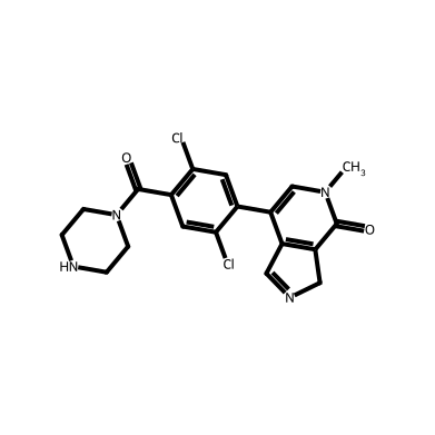 Cn1cc(-c2cc(Cl)c(C(=O)N3CCNCC3)cc2Cl)c2c(c1=O)CN=C2